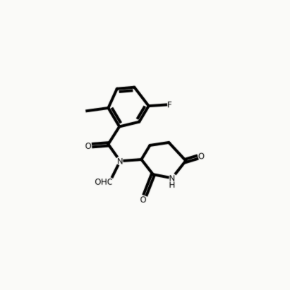 Cc1ccc(F)cc1C(=O)N(C=O)C1CCC(=O)NC1=O